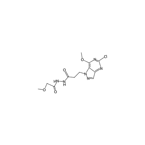 COCC(=O)NNC(=O)CCn1ncc2nc(Cl)nc(OC)c21